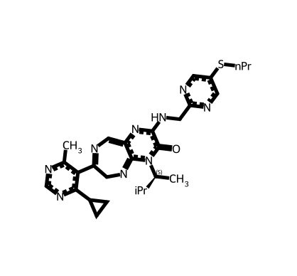 CCCSc1cnc(CNc2nc3c(n([C@@H](C)C(C)C)c2=O)=NCC(c2c(C)ncnc2C2CC2)=NC=3)nc1